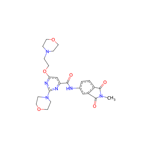 CN1C(=O)c2ccc(NC(=O)c3cc(OCCN4CCOCC4)nc(N4CCOCC4)n3)cc2C1=O